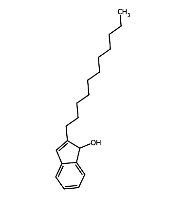 CCCCCCCCCCCC1=Cc2ccccc2C1O